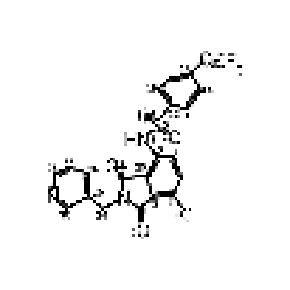 O=C1c2c(Cl)ccc(NS(=O)(=O)c3ccc(OC(F)(F)F)cc3)c2C(=O)N1Cc1cccnc1